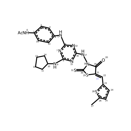 CC(=O)Nc1ccc(Nc2nc(NC3CCCC3)nc(NN3C(=O)/C(=C/c4ccc(C)s4)SC3=S)n2)cc1